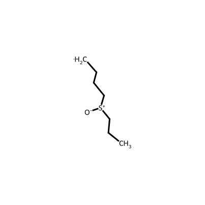 [CH2]CCC[S+]([O-])CCC